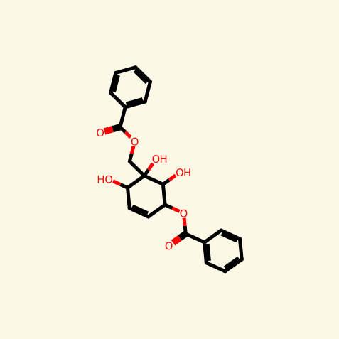 O=C(OCC1(O)C(O)C=CC(OC(=O)c2ccccc2)C1O)c1ccccc1